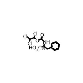 O=C(N[C@@H](Cc1ccccc1)C(=O)O)OC(Cl)C(Cl)Cl